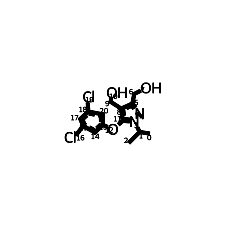 CC(C)n1nc(CO)c(CO)c1Oc1cc(Cl)cc(Cl)c1